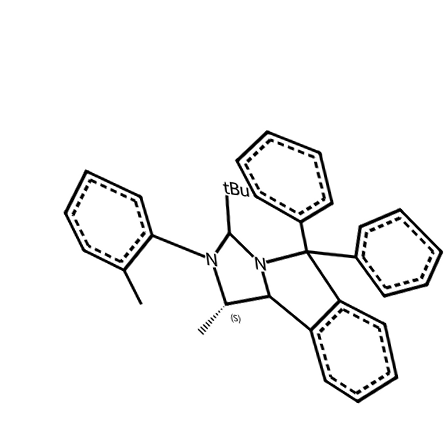 Cc1ccccc1N1C(C(C)(C)C)N2C(c3ccccc3C2(c2ccccc2)c2ccccc2)[C@@H]1C